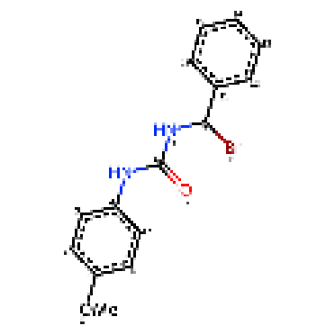 COc1ccc(NC(=O)NC(Br)c2ccccc2)cc1